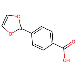 O=C(O)c1ccc(B2OC=CO2)cc1